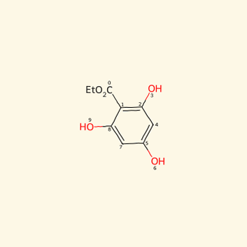 CCOC(=O)c1c(O)cc(O)cc1O